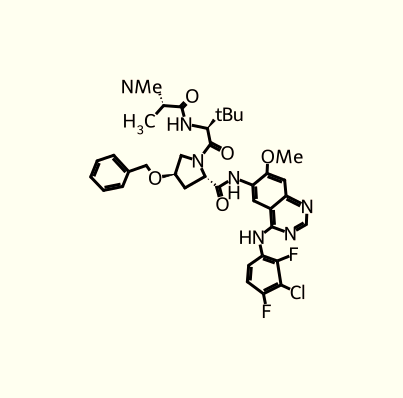 CN[C@@H](C)C(=O)N[C@H](C(=O)N1C[C@H](OCc2ccccc2)C[C@H]1C(=O)Nc1cc2c(Nc3ccc(F)c(Cl)c3F)ncnc2cc1OC)C(C)(C)C